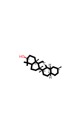 C[C@H]1CC[C@@H]2CC[C@@]3(C)C(CCC4[C@@]5(C)CC[C@H](O)C(C)(C)C5CC[C@]43C)[C@@H]2C1